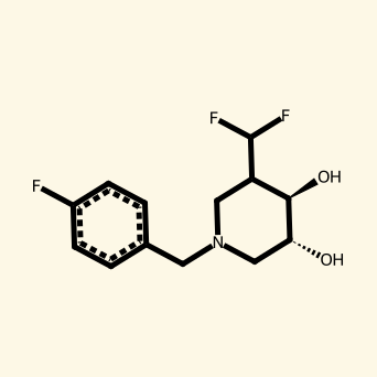 O[C@@H]1CN(Cc2ccc(F)cc2)CC(C(F)F)[C@H]1O